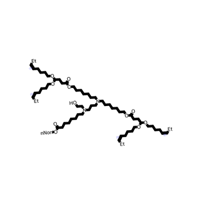 CC/C=C\CCCCOC(CCC(=O)OCCCCCCCN(CCCCCCCOC(=O)CCC(OCCCC/C=C\CC)OCCCC/C=C\CC)CCCN(CCO)CCCCCCCC(=O)OCCCCCCCCC)OCCCC/C=C\CC